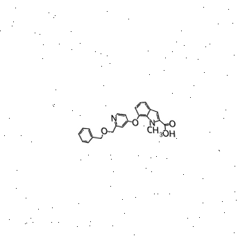 Cn1c(C(=O)O)cc2cccc(Oc3ccnc(COCc4ccccc4)c3)c21